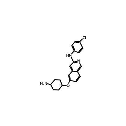 NC1CCC(Oc2ccc3cnc(Nc4ccc(Cl)cc4)cc3c2)CC1